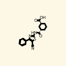 N#Cc1sc(NC(=O)[C@H]2CCC[C@H](C(=O)O)C2)nc1-c1ccccc1